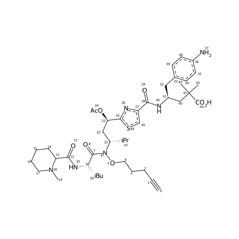 C#CCCCON(C(=O)[C@@H](NC(=O)C1CCCCN1C)[C@@H](C)CC)[C@H](C[C@@H](OC(C)=O)c1nc(C(=O)N[C@@H](Cc2ccc(N)cc2)CC(C)(C)C(=O)O)cs1)C(C)C